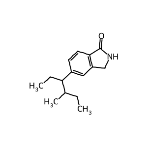 CCC(C)C(CC)c1ccc2c(c1)CNC2=O